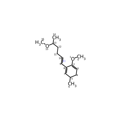 COC1=CCC(C)C=C1/C=C/CCC(C)OC